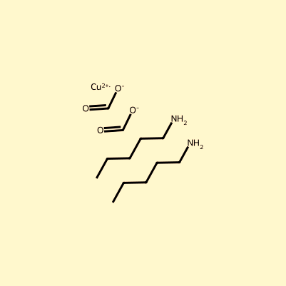 CCCCCN.CCCCCN.O=C[O-].O=C[O-].[Cu+2]